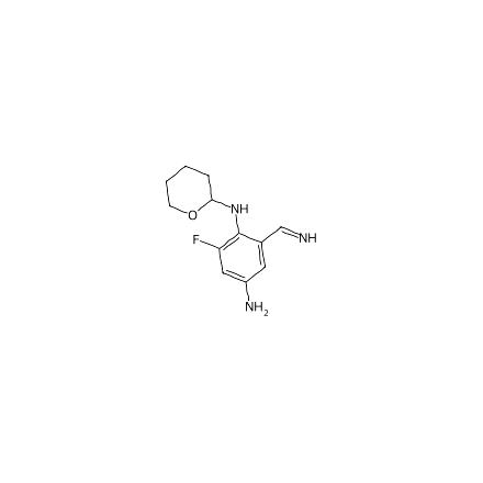 N=Cc1cc(N)cc(F)c1NC1CCCCO1